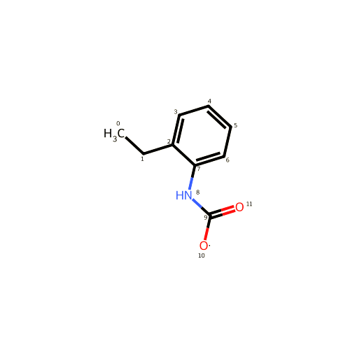 CCc1ccccc1NC([O])=O